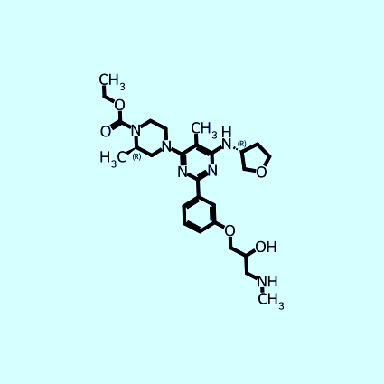 CCOC(=O)N1CCN(c2nc(-c3cccc(OCC(O)CNC)c3)nc(N[C@@H]3CCOC3)c2C)C[C@H]1C